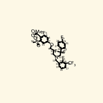 COC(=O)c1c(F)cc(OCCCN(Cc2cccc(C(F)(F)F)c2F)CC(F)(F)c2ccc(F)cc2)cc1S(C)(=O)=O